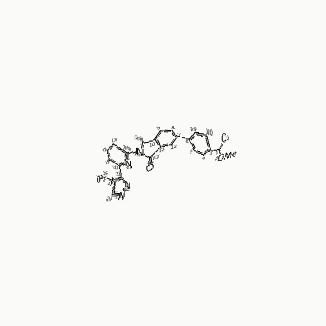 COC(=O)c1ccc(-c2ccc3c(c2)C(=O)N(c2cccc(-c4nncn4C(C)C)n2)C3)cc1